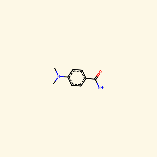 CN(C)c1ccc(C([NH])=O)cc1